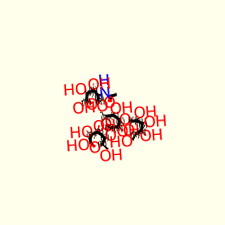 CC(=O)N[C@H]1[C@H](OC[C@H]2O[C@@H](O[C@H]3[C@H](O)[C@@H](O)C(O)O[C@@H]3CO)[C@H](O)[C@@H](O[C@@H]3O[C@H](CO)[C@H](O)[C@H](O)[C@H]3O)[C@H]2O)O[C@H](CO)[C@@H](O)[C@@H]1O